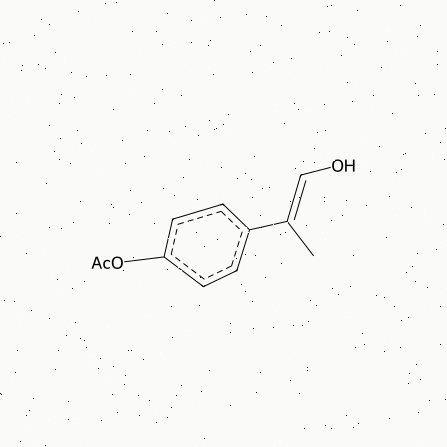 CC(=O)Oc1ccc(C(C)=CO)cc1